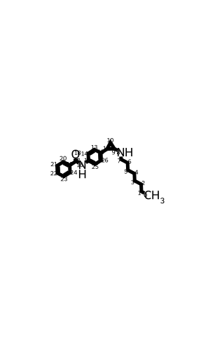 CCCCCCCCNC1CC1c1ccc(NC(=O)c2ccccc2)cc1